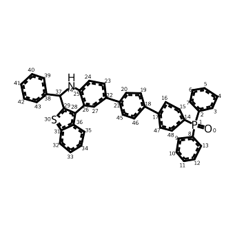 O=P(c1ccccc1)(c1ccccc1)c1ccc(-c2ccc(-c3ccc4c(c3)-c3c(sc5ccccc35)C(c3ccccc3)N4)cc2)cc1